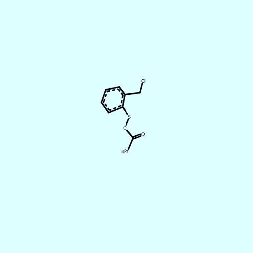 CCCC(=O)OSc1ccccc1CCl